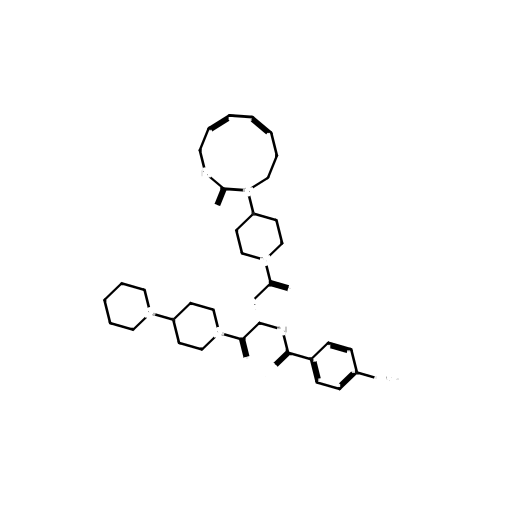 C=C(N[C@@H](CC(=O)N1CCC(N2CC/C=C\C=C/CNC2=O)CC1)C(=O)N1CCC(N2CCCCC2)CC1)c1ccc(OC)cc1